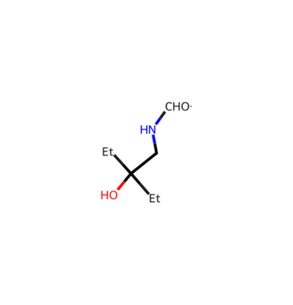 CCC(O)(CC)CN[C]=O